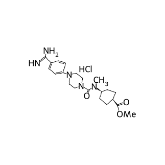 COC(=O)[C@H]1CC[C@@H](N(C)C(=O)N2CCN(c3ccc(C(=N)N)cc3)CC2)CC1.Cl